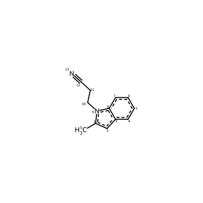 Cc1cc2ccccc2n1CCC#N